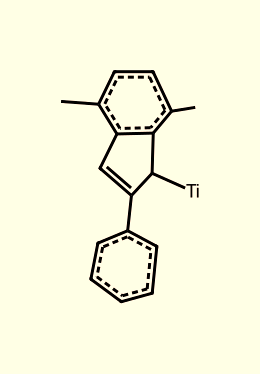 Cc1ccc(C)c2c1C=C(c1ccccc1)[CH]2[Ti]